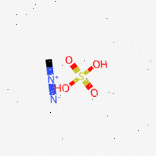 C=[N+]=[N-].O=S(=O)(O)O